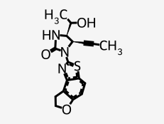 CC#C[C@@H]1[C@H](C(C)O)NC(=O)N1c1nc2c3c(ccc2s1)OCC3